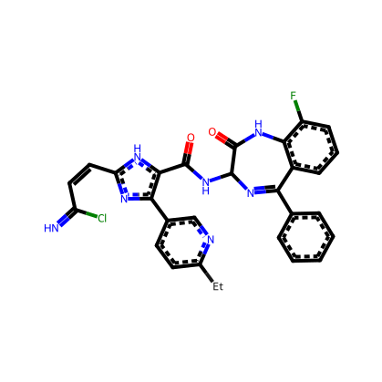 CCc1ccc(-c2nc(/C=C\C(=N)Cl)[nH]c2C(=O)NC2N=C(c3ccccc3)c3cccc(F)c3NC2=O)cn1